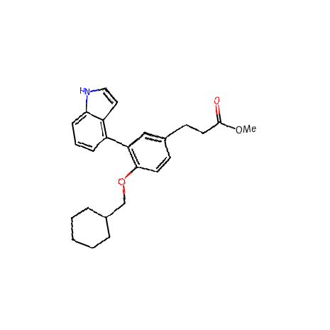 COC(=O)CCc1ccc(OCC2CCCCC2)c(-c2cccc3[nH]ccc23)c1